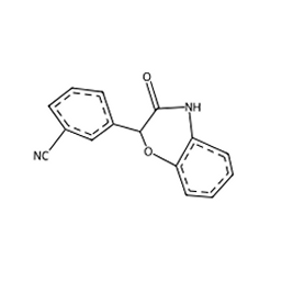 N#Cc1cccc(C2Oc3ccccc3NC2=O)c1